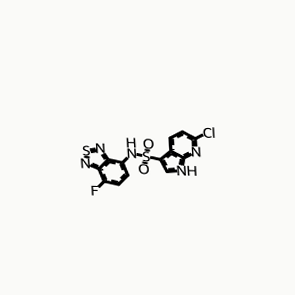 O=S(=O)(Nc1ccc(F)c2nsnc12)c1c[nH]c2nc(Cl)ccc12